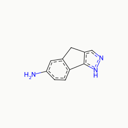 Nc1ccc2c(c1)Cc1cn[nH]c1-2